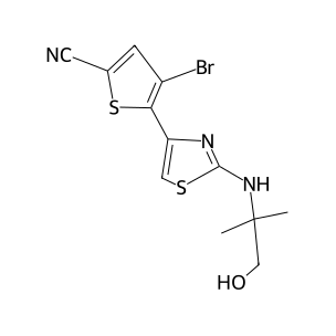 CC(C)(CO)Nc1nc(-c2sc(C#N)cc2Br)cs1